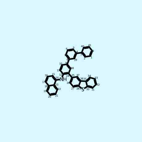 c1ccc(-c2cccc(-c3ccc(Nc4cccc5ccccc45)c(-c4ccc5sc6ccccc6c5c4)c3)c2)cc1